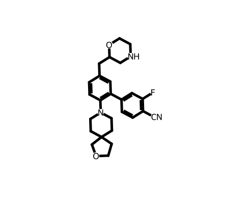 N#Cc1ccc(-c2cc(CC3CNCCO3)ccc2N2CCC3(CCOC3)CC2)cc1F